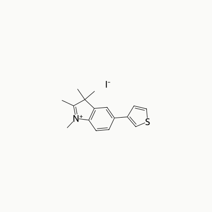 CC1=[N+](C)c2ccc(-c3ccsc3)cc2C1(C)C.[I-]